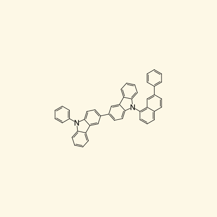 c1ccc(-c2ccc3cccc(-n4c5ccccc5c5cc(-c6ccc7c(c6)c6ccccc6n7-c6ccccc6)ccc54)c3c2)cc1